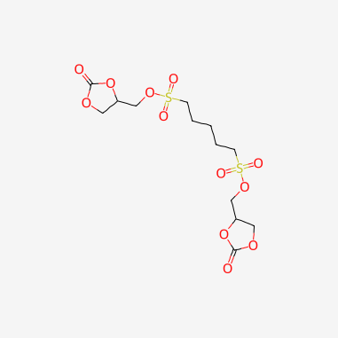 O=C1OCC(COS(=O)(=O)CCCCCS(=O)(=O)OCC2COC(=O)O2)O1